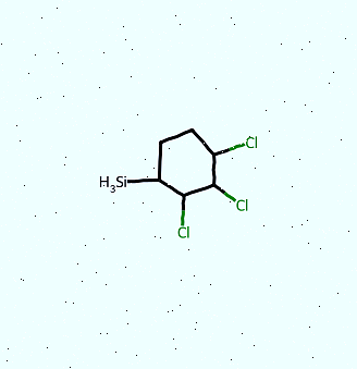 [SiH3]C1CCC(Cl)C(Cl)C1Cl